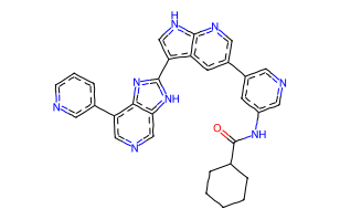 O=C(Nc1cncc(-c2cnc3[nH]cc(-c4nc5c(-c6cccnc6)cncc5[nH]4)c3c2)c1)C1CCCCC1